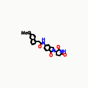 COc1ccc2c(CC(=O)Nc3ccc4c(c3)CN(C3CCC(=O)NC3=O)C4=O)cccc2c1